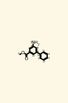 COC(=O)c1cc(N)cc(-c2ccccc2)c1